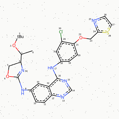 CC(OC(C)(C)C)C1COC(Nc2ccc3ncnc(Nc4ccc(OCc5nccs5)c(Cl)c4)c3c2)=N1